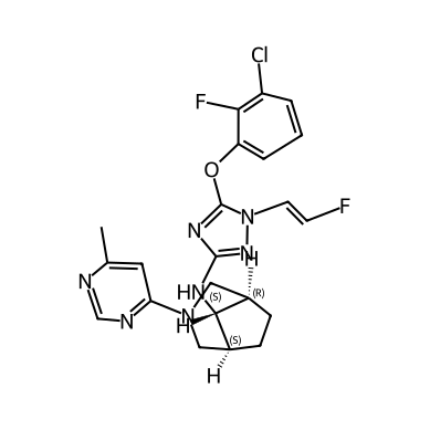 Cc1cc(N2C[C@H]3CC[C@@H](C2)[C@@H]3Nc2nc(Oc3cccc(Cl)c3F)n(C=CF)n2)ncn1